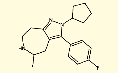 CC1Cc2c(nn(C3CCCC3)c2-c2ccc(F)cc2)CCN1